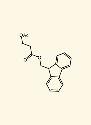 CC(=O)OCCC(=O)OCC1c2ccccc2-c2ccccc21